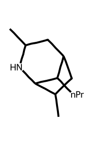 CCCC1C2CC(C)NC1C(C)C2